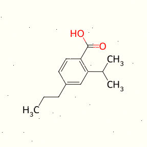 CCCc1ccc(C(=O)O)c(C(C)C)c1